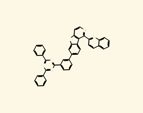 c1ccc(-c2nc(-c3ccccc3)nc(-c3cccc(-c4ccc5c(c4)sc4ccnc(-c6ccc7ccccc7n6)c45)c3)n2)cc1